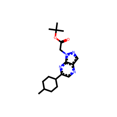 CC1CCC(c2cnc3cnn(CC(=O)OC(C)(C)C)c3n2)CC1